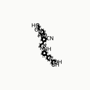 N#Cc1cc(-c2ccnc(Nc3cccc(C4CCN(C(CO)CO)CC4)c3)n2)ccc1OC1CCN(C(=O)CO)CC1(F)F